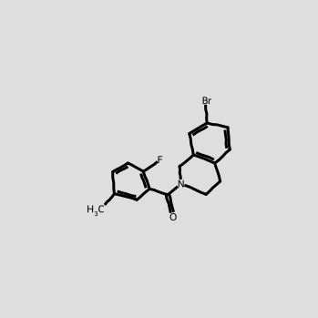 Cc1ccc(F)c(C(=O)N2CCc3ccc(Br)cc3C2)c1